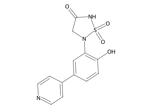 O=C1CN(c2cc(-c3ccncc3)ccc2O)S(=O)(=O)N1